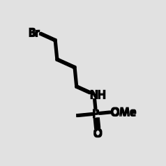 COP(C)(=O)NCCCCBr